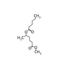 CCCCCC(=O)OC(C)CCCC(=O)OC